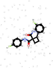 NC(=O)C1(C(=O)Nc2ccc(F)cc2)CCC1c1cccc(F)c1